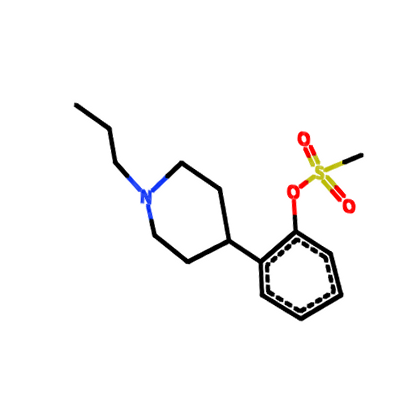 CCCN1CCC(c2ccccc2OS(C)(=O)=O)CC1